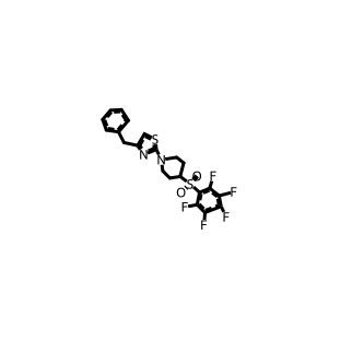 O=S(=O)(c1c(F)c(F)c(F)c(F)c1F)C1CCN(c2nc(Cc3ccccc3)cs2)CC1